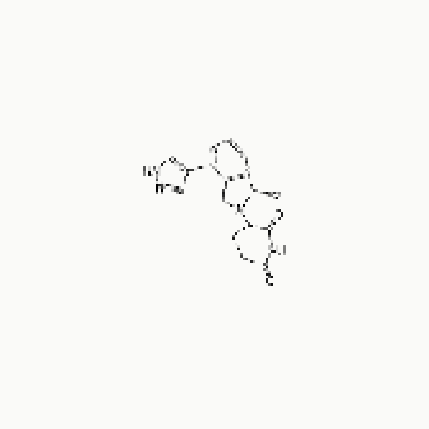 O=C1CCC(N2Cc3c(cccc3-c3cn[nH]c3)C2=O)C(=O)N1